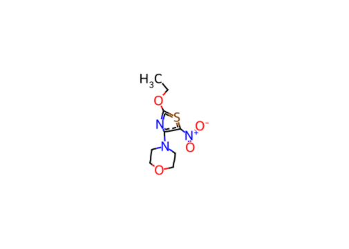 CCOc1nc(N2CCOCC2)c([N+](=O)[O-])s1